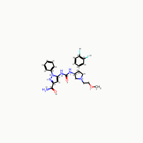 COCCN1C[C@@H](NC(=O)Nc2cc(C(N)=O)nn2-c2ccccc2)[C@H](c2ccc(F)c(F)c2)C1